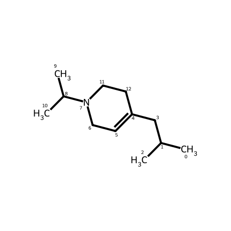 CC(C)CC1=CCN(C(C)C)CC1